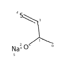 CC([O-])C=S.[Na+]